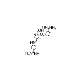 Cc1c(CNc2ccc(C(=N)N)cc2)cnc(CO)c1OCc1cccc(C(=N)N)c1